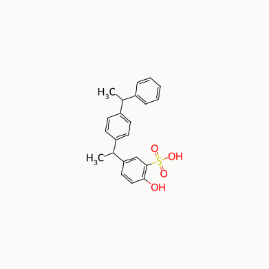 CC(c1ccccc1)c1ccc(C(C)c2ccc(O)c(S(=O)(=O)O)c2)cc1